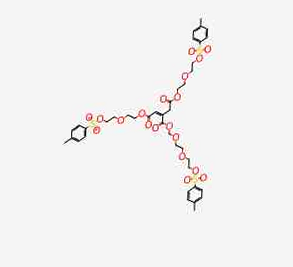 Cc1ccc(S(=O)(=O)OCCOCCOCOC(=O)/C(=C\C(=O)OCCOCCOS(=O)(=O)c2ccc(C)cc2)CC(=O)OCCOCCOS(=O)(=O)c2ccc(C)cc2)cc1